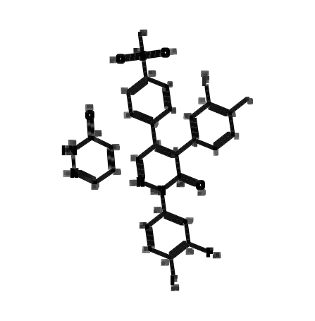 Cc1ccc(-c2c(-c3ccc(S(C)(=O)=O)cc3)cnn(-c3ccc(F)c(F)c3)c2=O)cc1F.O=c1cccn[nH]1